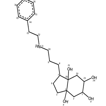 OC1CC2(O)CCC(CCCNCCc3ccccc3)C2(O)CC1O